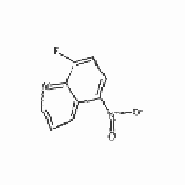 O=[N+]([O-])c1ccc(F)c2ncccc12